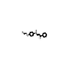 O=C(C=CNc1ccc(OCCF)cc1)c1ccccc1